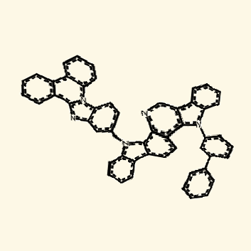 c1ccc(-c2cccc(-n3c4ccccc4c4cnc5c(ccc6c7ccccc7n(-c7ccc8c(c7)nc7c9ccccc9c9ccccc9n87)c65)c43)c2)cc1